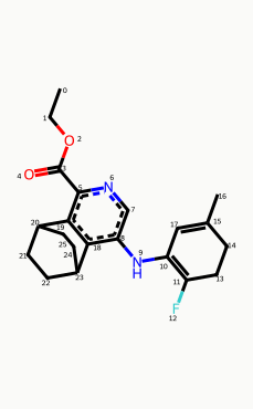 CCOC(=O)c1ncc(NC2=C(F)CCC(C)=C2)c2c1C1CCC2CC1